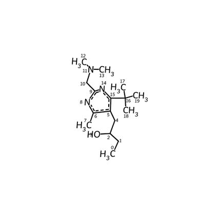 CCC(O)Cc1c(C)nc(CN(C)C)nc1C(C)(C)C